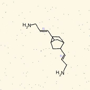 NC/C=C/C1CC2CCC1CC2/C=C/CN